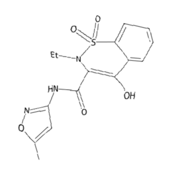 CCN1C(C(=O)Nc2cc(C)on2)=C(O)c2ccccc2S1(=O)=O